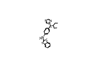 CCC(CC)[C@@H](c1ccc(Nc2nc3ccccc3s2)cc1)n1cncn1